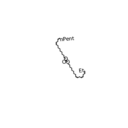 CC/C=C\C/C=C\C/C=C\CCCCCCCCOC(=O)OCCCCCCCC/C=C\C/C=C\CCCCC